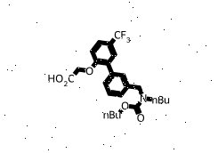 CCCCOC(=O)N(CCCC)Cc1cccc(-c2cc(C(F)(F)F)ccc2OCC(=O)O)c1